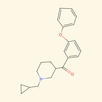 O=C(c1cccc(Oc2ccccc2)c1)C1CCCN(CC2CC2)C1